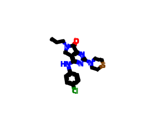 CCCN1Cc2c(Nc3ccc(Cl)cc3)nc(N3CCSCC3)nc2C1=O